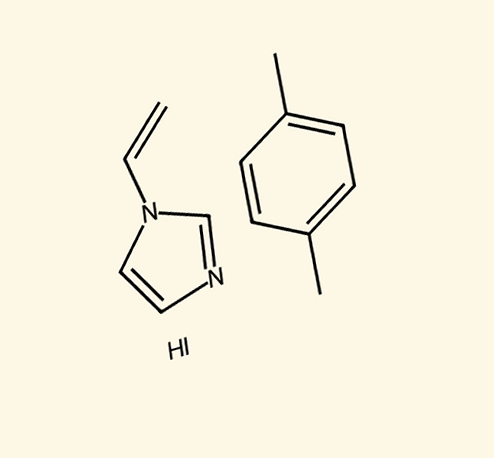 C=Cn1ccnc1.Cc1ccc(C)cc1.I